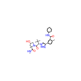 CNC(=O)[C@H]1CC(O)CN1C(=O)C(n1cc(-c2ccc(C)c(C(=O)Nc3ccccc3)c2)nn1)C(C)(C)C